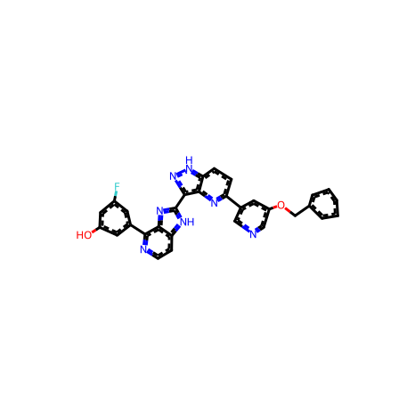 Oc1cc(F)cc(-c2nccc3[nH]c(-c4n[nH]c5ccc(-c6cncc(OCc7ccccc7)c6)nc45)nc23)c1